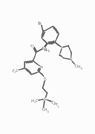 CN1CCN(c2ccc(Br)cc2NC(=O)c2cc(C(F)(F)F)cc(OCC[Si](C)(C)C)n2)CC1